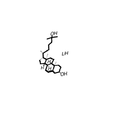 C[C@H](CCCC(C)(C)O)[C@H]1CC[C@H]2[C@@H]3CC=C4C[C@@H](O)CC[C@]4(C)[C@H]3CC[C@]12C.[LiH]